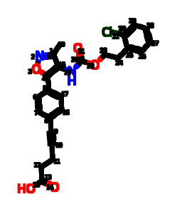 Cc1noc(-c2ccc(C#CCCC(=O)O)cc2)c1NC(=O)OCCc1ccccc1Cl